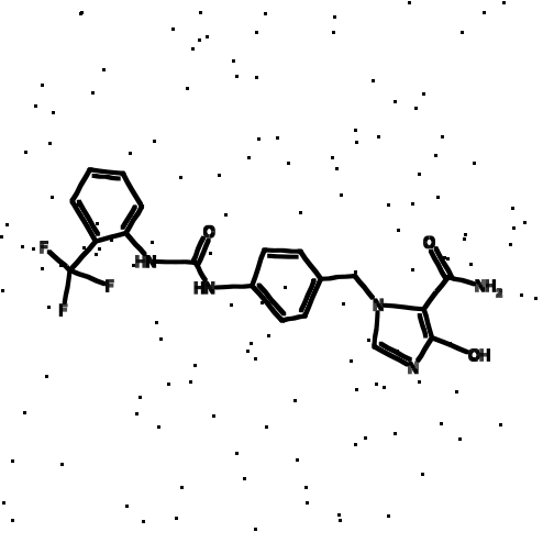 NC(=O)c1c(O)ncn1Cc1ccc(NC(=O)Nc2ccccc2C(F)(F)F)cc1